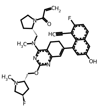 C#Cc1c(F)ccc2cc(O)cc(C3=Cc4nc(OC[C@@H]5C[C@@H](F)CN5C)nc(N(C)C[C@@H]5CCCN5C(=O)C=C)c4CC3)c12